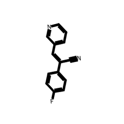 N#C/C(=C\c1cccnc1)c1ccc(F)cc1